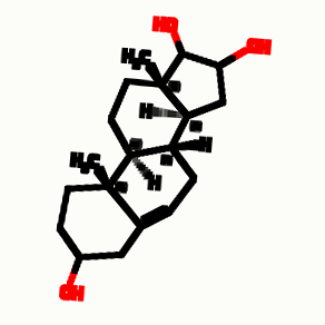 C[C@]12CCC(O)CC1=CC[C@@H]1[C@@H]2CC[C@]2(C)C(O)C(O)C[C@@H]12